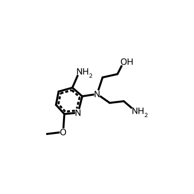 COc1ccc(N)c(N(CCN)CCO)n1